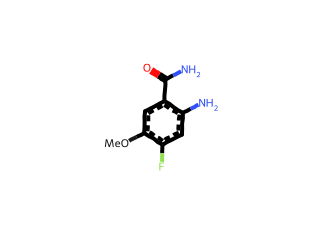 COc1cc(C(N)=O)c(N)cc1F